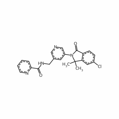 CC1(C)c2cc(Cl)ccc2C(=O)N1c1cncc(CNC(=O)c2ccccn2)c1